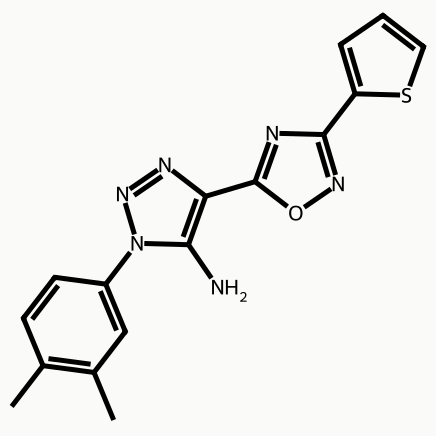 Cc1ccc(-n2nnc(-c3nc(-c4cccs4)no3)c2N)cc1C